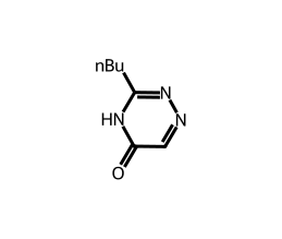 CCCCc1nncc(=O)[nH]1